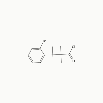 CC(C)(C(=O)Cl)C(C)(C)c1ccccc1Br